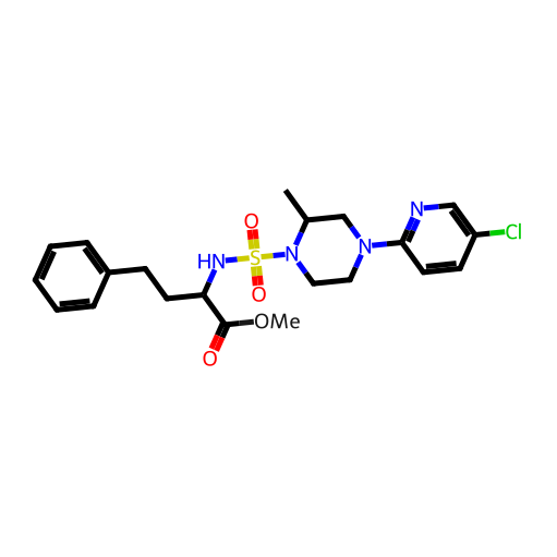 COC(=O)C(CCc1ccccc1)NS(=O)(=O)N1CCN(c2ccc(Cl)cn2)CC1C